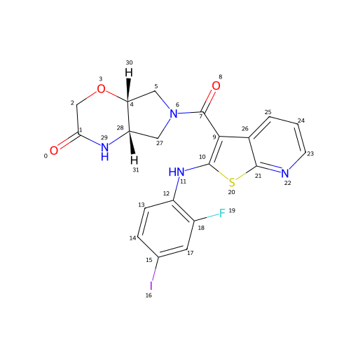 O=C1CO[C@@H]2CN(C(=O)c3c(Nc4ccc(I)cc4F)sc4ncccc34)C[C@@H]2N1